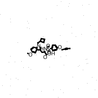 CC#CCOc1ccc(S(=O)(=O)NC(Cc2cn(CC3CCC3)c3ccc(OC)cc23)C(=O)O)cc1